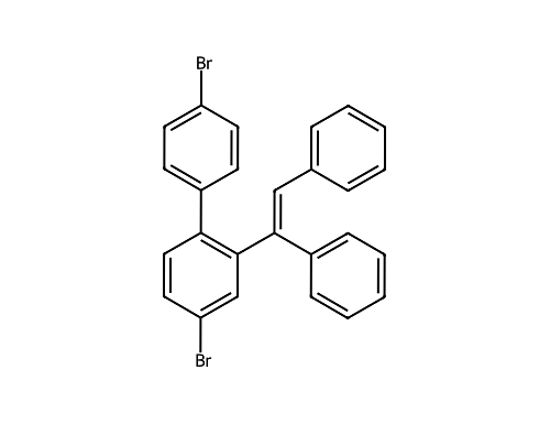 Brc1ccc(-c2ccc(Br)cc2C(=Cc2ccccc2)c2ccccc2)cc1